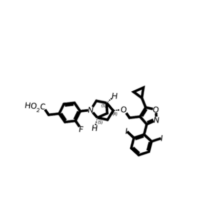 O=C(O)Cc1ccc(N2C[C@@H]3C[C@H]2C[C@H]3OCc2c(-c3c(I)cccc3I)noc2C2CC2)c(F)c1